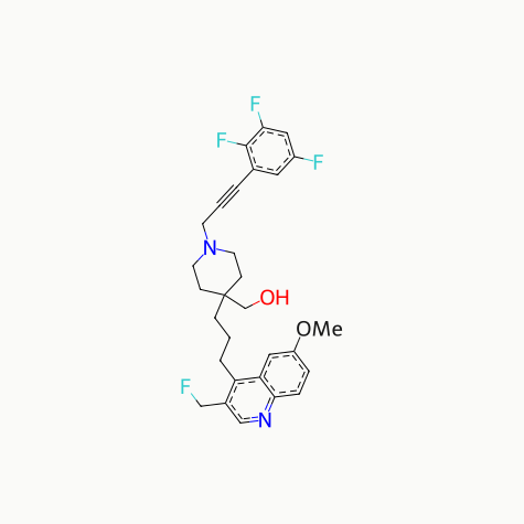 COc1ccc2ncc(CF)c(CCCC3(CO)CCN(CC#Cc4cc(F)cc(F)c4F)CC3)c2c1